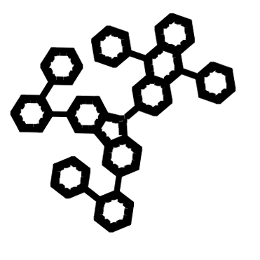 c1ccc(-c2ccccc2-c2ccc3c(c2)c2cc(-c4ccccc4-c4ccccc4)ccc2n3-c2ccc3c(-c4ccccc4)c4ccccc4c(-c4ccccc4)c3c2)cc1